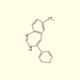 FC(F)(F)c1ccc2c(c1)C=C(C1=CCCC=C1)NC=N2